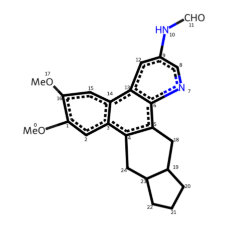 COc1cc2c3c(c4ncc(NC=O)cc4c2cc1OC)CC1CCCC1C3